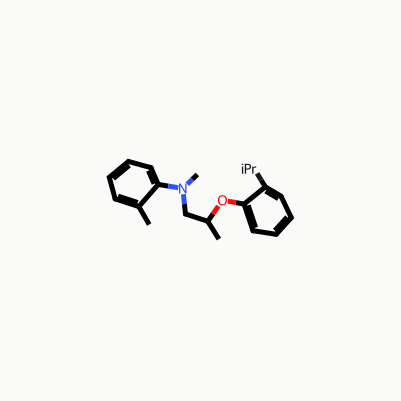 Cc1ccccc1N(C)CC(C)Oc1ccccc1C(C)C